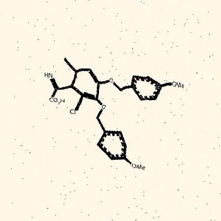 COc1ccc(COC2=CC(C)C(C(=N)C(=O)O)C(Cl)=C2OCc2ccc(OC)cc2)cc1